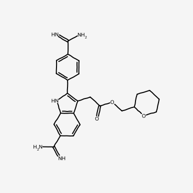 N=C(N)c1ccc(-c2[nH]c3cc(C(=N)N)ccc3c2CC(=O)OCC2CCCCO2)cc1